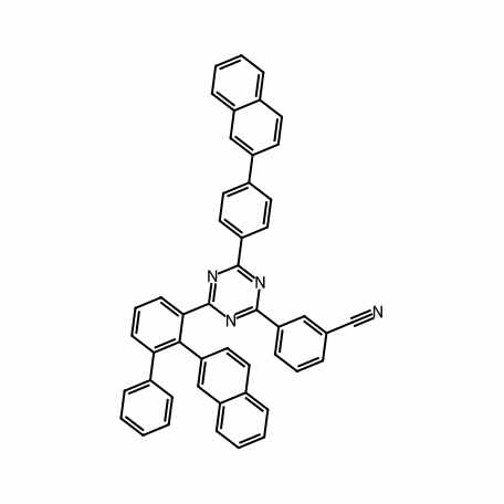 N#Cc1cccc(-c2nc(-c3ccc(-c4ccc5ccccc5c4)cc3)nc(-c3cccc(-c4ccccc4)c3-c3ccc4ccccc4c3)n2)c1